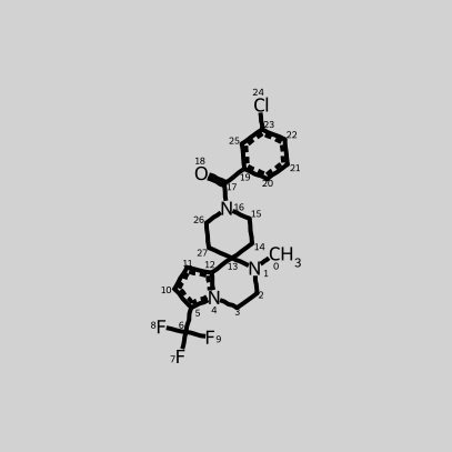 CN1CCn2c(C(F)(F)F)ccc2C12CCN(C(=O)c1cccc(Cl)c1)CC2